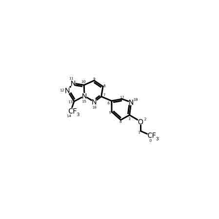 FC(F)(F)COc1ccc(-c2ccc3nnc(C(F)(F)F)n3n2)cn1